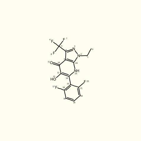 CCn1nc(C(F)(F)F)c2c(=O)c(O)c(-c3c(F)cccc3F)[nH]c21